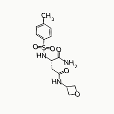 Cc1ccc(S(=O)(=O)N[C@@H](CC(=O)NC2COC2)C(N)=O)cc1